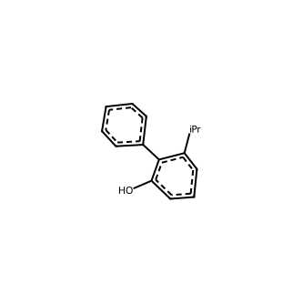 CC(C)c1cccc(O)c1-c1ccccc1